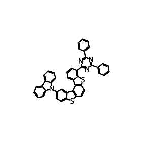 c1ccc(-c2nc(-c3ccccc3)nc(-c3cccc4c3sc3ccc5sc6ccc(-n7c8ccccc8c8ccccc87)cc6c5c34)n2)cc1